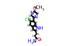 COc1cnc(-c2cc3[nH]c(CCC(N)=O)cc3cc2Cl)cn1